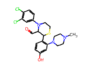 CN1CCN(c2cc(O)ccc2C2SCCN(c3ccc(Cl)c(Cl)c3)C2C=O)CC1